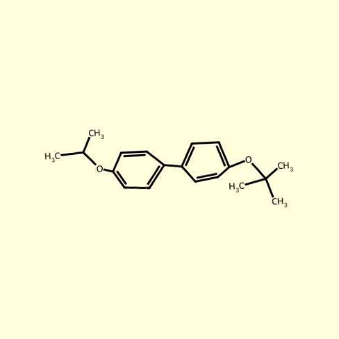 CC(C)Oc1ccc(-c2ccc(OC(C)(C)C)cc2)cc1